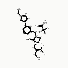 CCn1cc(-c2cccc(Cn3nnn(CC(CN)=C(F)F)c3=O)c2)cn1.O=C(O)C(F)(F)F